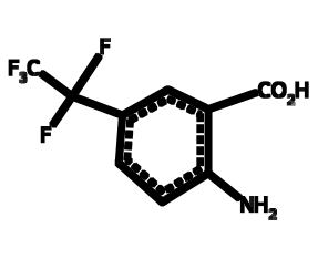 Nc1ccc(C(F)(F)C(F)(F)F)cc1C(=O)O